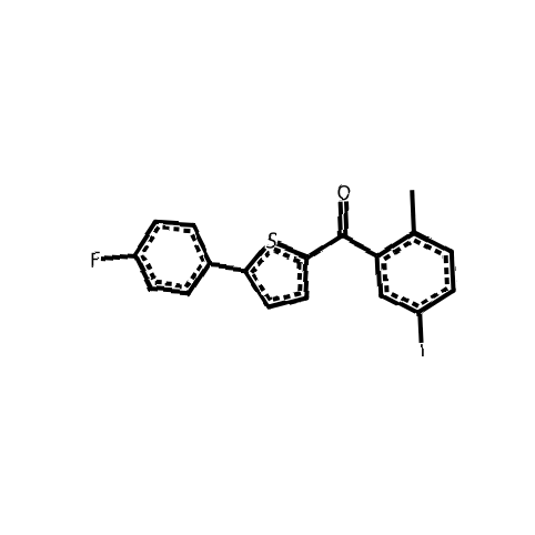 Cc1ccc(I)cc1C(=O)c1ccc(-c2ccc(F)cc2)s1